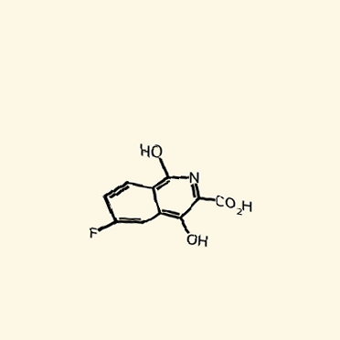 O=C(O)c1nc(O)c2ccc(F)cc2c1O